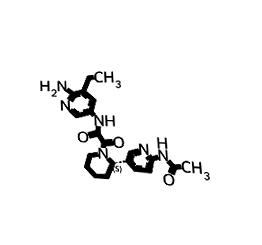 CCc1cc(NC(=O)C(=O)N2CCCC[C@H]2c2ccc(NC(C)=O)nc2)cnc1N